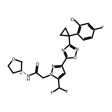 O=C(Cn1nc(-c2nc(C3(c4ccc(F)cc4Cl)CC3)no2)cc1C(F)F)N[C@@H]1CCOC1